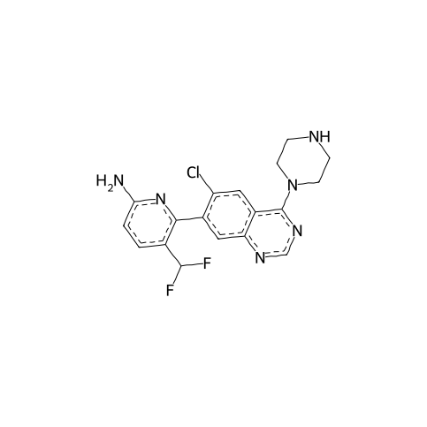 Nc1ccc(C(F)F)c(-c2cc3ncnc(N4CCNCC4)c3cc2Cl)n1